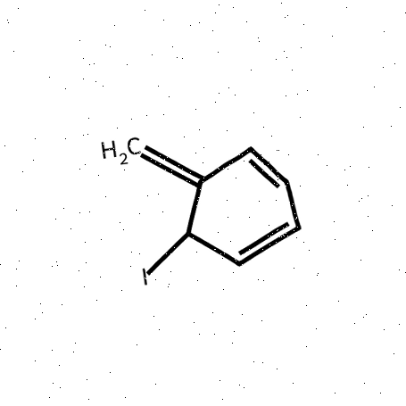 C=C1C=CC=CC1I